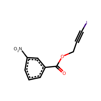 O=C(OCC#CI)c1cccc([N+](=O)[O-])c1